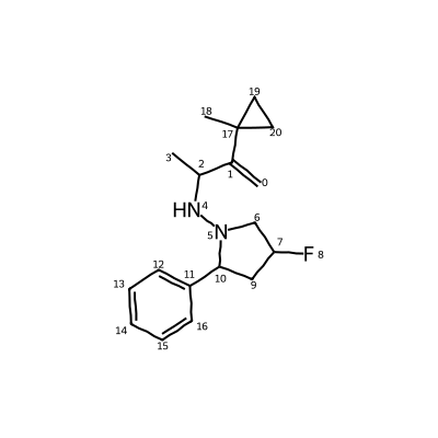 C=C(C(C)NN1CC(F)CC1c1ccccc1)C1(C)CC1